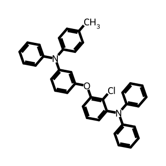 Cc1ccc(N(c2ccccc2)c2cccc(Oc3cccc(N(c4ccccc4)c4ccccc4)c3Cl)c2)cc1